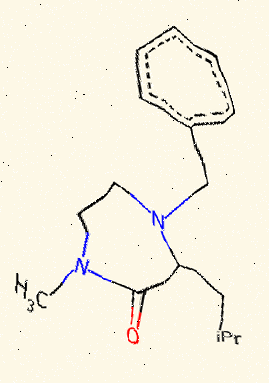 CC(C)CC1C(=O)N(C)CCN1Cc1ccccc1